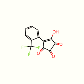 O=c1c(O)c(-c2ccccc2C(F)(F)F)c(=O)c1=O